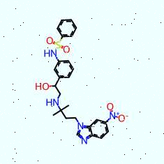 CC(C)(CCn1cnc2ccc([N+](=O)[O-])cc21)NCC(O)c1cccc(NS(=O)(=O)c2ccccc2)c1